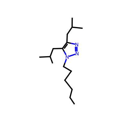 CCCCCCn1nnc(CC(C)C)c1CC(C)C